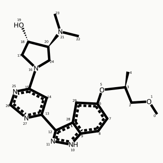 COC[C@H](C)Oc1ccc2[nH]nc(-c3cc(N4C[C@H](O)[C@@H](N(C)C)C4)ncn3)c2c1